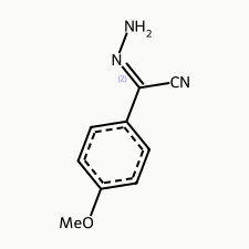 COc1ccc(/C(C#N)=N/N)cc1